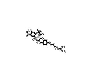 Cc1ccc(S(=O)(=O)N[C@@H](Cc2ccc(OCCCONC(=N)N)cc2)C(=O)OC(=O)C(F)(F)F)cc1[N+](=O)[O-]